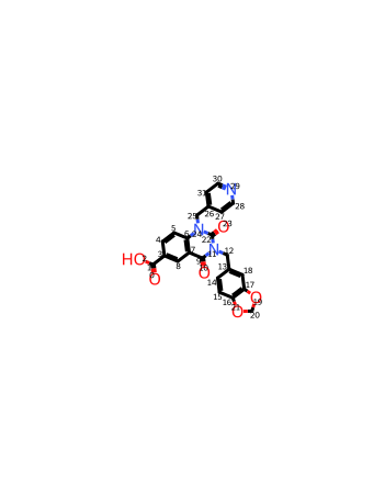 O=C(O)c1ccc2c(c1)c(=O)n(Cc1ccc3c(c1)OCO3)c(=O)n2Cc1ccncc1